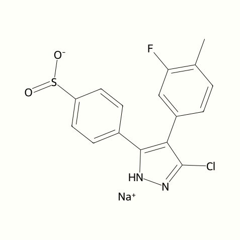 Cc1ccc(-c2c(Cl)n[nH]c2-c2ccc(S(=O)[O-])cc2)cc1F.[Na+]